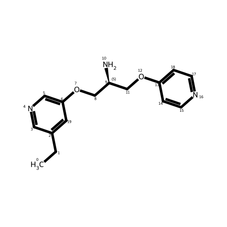 CCc1cncc(OC[C@@H](N)COc2ccncc2)c1